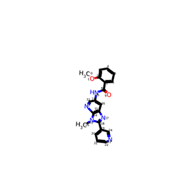 COc1ccccc1C(=O)Nc1cnc2c(c1)nc(-c1cccnc1)n2C